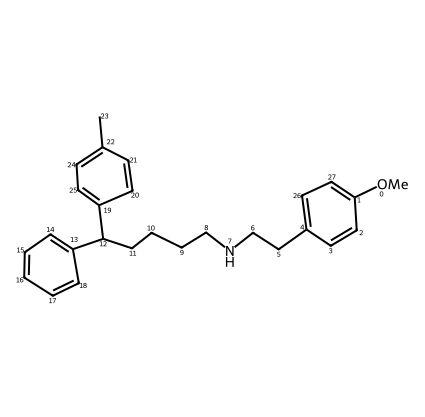 COc1ccc(CCNCCCCC(c2ccccc2)c2ccc(C)cc2)cc1